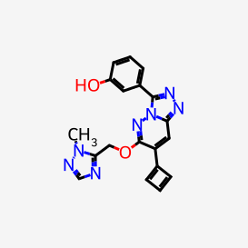 Cn1ncnc1COc1nn2c(-c3cccc(O)c3)nnc2cc1C1=CC=C1